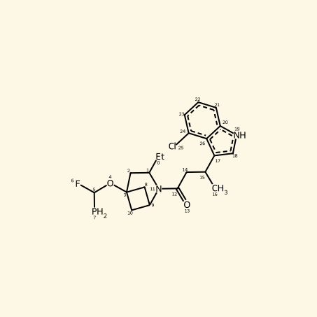 CCC1CC2(OC(F)P)CC(C2)N1C(=O)CC(C)c1c[nH]c2cccc(Cl)c12